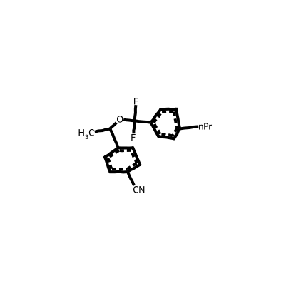 CCCc1ccc(C(F)(F)OC(C)c2ccc(C#N)cc2)cc1